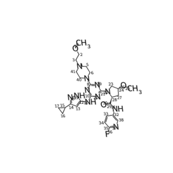 COCCN1CCN(c2nc(Nc3cc(C4CC4)n[nH]3)nc(N3C[C@@H](OC)C[C@H]3C(=O)Nc3ccc(F)nc3)n2)CC1